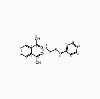 O=C(O)c1ccccc1C(=O)O.OCCOc1ccccc1